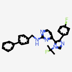 CC(C)(F)n1cnc(-c2ccc(F)cc2)c1-c1ccnc(NCc2ccc(-c3ccccc3)cc2)n1